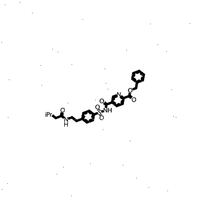 CC(C)CC(=O)NCCc1ccc(S(=O)(=O)NC(=O)c2ccc(C(=O)OCc3ccccc3)nc2)cc1